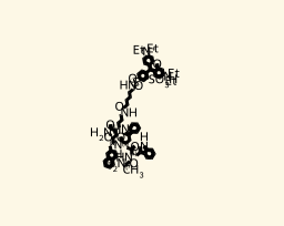 CCN(CC)c1ccc2c(-c3ccc(S(=O)(=O)NCCCCCC(=O)NCCCC[C@H](CC(=O)[C@@H](Cc4ccc5ccccc5c4)NC(=O)[C@@H](CC(=O)[C@H](Cc4c[nH]c5ccccc45)NC(=O)[C@H](C)N)Cc4c[nH]c5ccccc45)C(N)=O)cc3S(=O)(=O)O)c3ccc(=[N+](CC)CC)cc-3oc2c1